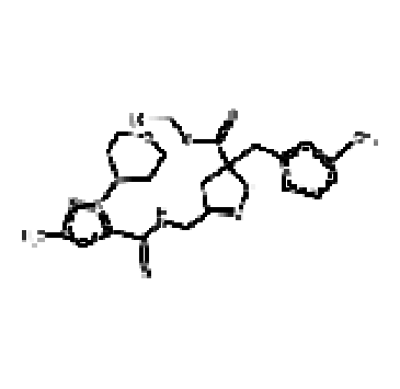 CCOC(=O)C1(Cc2cccc(C)c2)CC(CNC(=O)c2cc(C)nn2C2CCOCC2)=NO1